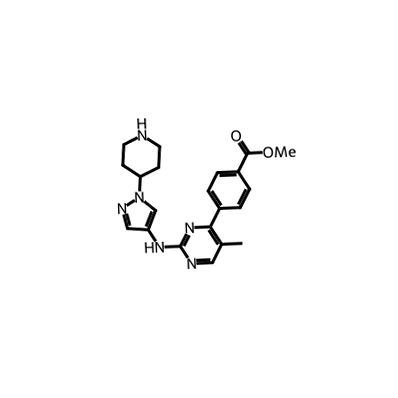 COC(=O)c1ccc(-c2nc(Nc3cnn(C4CCNCC4)c3)ncc2C)cc1